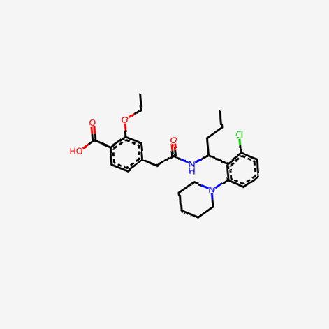 CCCC(NC(=O)Cc1ccc(C(=O)O)c(OCC)c1)c1c(Cl)cccc1N1CCCCC1